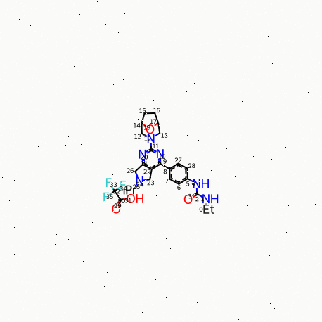 CCNC(=O)Nc1ccc(-c2nc(N3CC4CCC(C3)O4)nc3c2CN(C(C)C)C3)cc1.O=C(O)C(F)(F)F